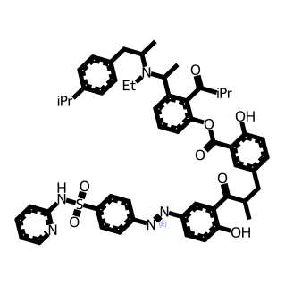 CCN(C(C)Cc1ccc(C(C)C)cc1)C(C)c1cccc(OC(=O)c2cc(CC(C)C(=O)c3cc(/N=N/c4ccc(S(=O)(=O)Nc5ccccn5)cc4)ccc3O)ccc2O)c1C(=O)C(C)C